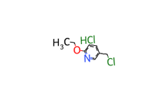 CCOc1ccc(CCl)cn1.Cl